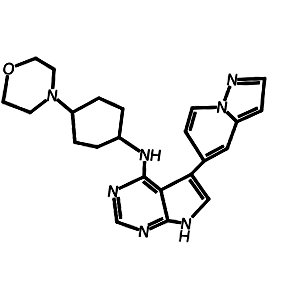 c1nc(NC2CCC(N3CCOCC3)CC2)c2c(-c3ccn4nccc4c3)c[nH]c2n1